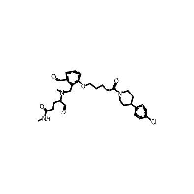 CNC(=O)CCC(C=O)N(C)Cc1c(C=O)cccc1OCCCCC(=O)N1CCC(c2ccc(Cl)cc2)CC1